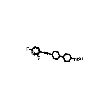 CCCCC1CCC(C2CCC(C#Cc3ccc(F)nc3F)CC2)CC1